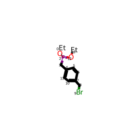 CCOP(Cc1ccc(CBr)cc1)OCC